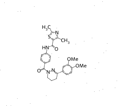 COc1ccc(C2=NN(C(=O)c3ccc(NC(=O)c4sc(C)nc4C)cc3)CCC2)cc1OC